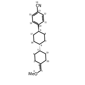 COC=C1CCC([C@H]2CC[C@H](c3ccc(C#N)cc3)CC2)CC1